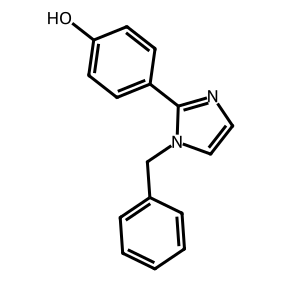 Oc1ccc(-c2nccn2Cc2ccccc2)cc1